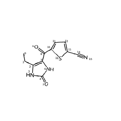 CCc1[nH]c(=O)[nH]c1C(=O)c1ccc(C#N)s1